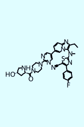 CCc1nc2ccc(-c3cnc(N4CCN(C(=O)[C@H]5C[C@H](O)CN5)CC4)nc3)cn2c1N(C)c1nc(-c2ccc(F)cc2)c(C#N)s1